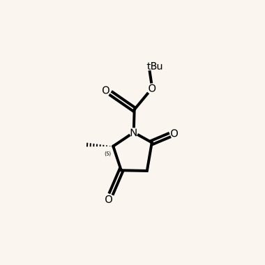 C[C@H]1C(=O)CC(=O)N1C(=O)OC(C)(C)C